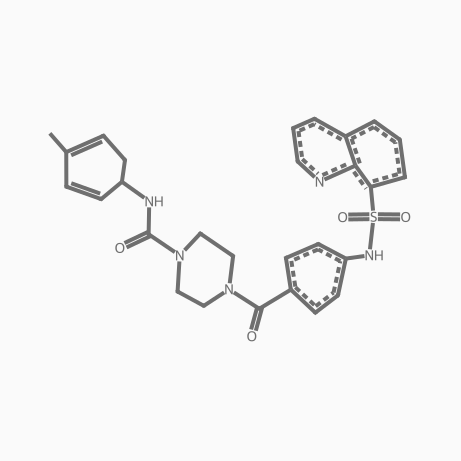 CC1=CCC(NC(=O)N2CCN(C(=O)c3ccc(NS(=O)(=O)c4cccc5cccnc45)cc3)CC2)C=C1